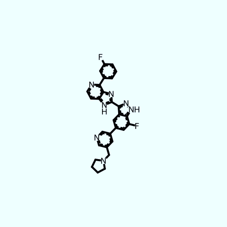 Fc1cccc(-c2nccc3[nH]c(-c4n[nH]c5c(F)cc(-c6cncc(CN7CCCC7)c6)cc45)nc23)c1